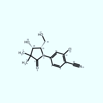 CC1(C)C(=O)N(c2ccc(C#N)c(Cl)c2)[C@@H](CO)[C@H]1O